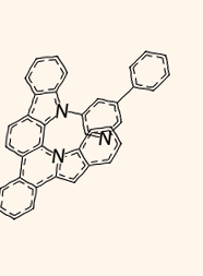 c1ccc(-c2cncc(-n3c4ccccc4c4ccc5c6ccccc6c6cc7ccccc7n6c5c43)c2)cc1